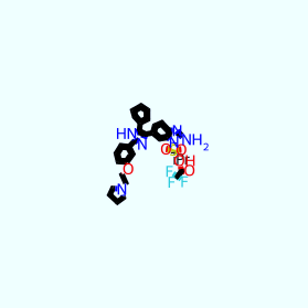 CC(C)S(=O)(=O)n1c(N)nc2ccc(-c3nc(-c4cccc(OCCN5CCCC5)c4)[nH]c3-c3ccccc3)cc21.O=C(O)C(F)(F)F